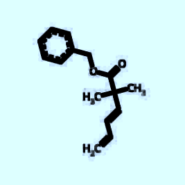 C=C/C=C/C(C)(C)C(=O)OCc1ccccc1